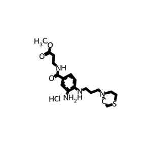 COC(=O)CCNC(=O)c1ccc(NCCCN2CCSCC2)c(N)c1.Cl